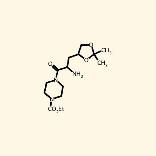 CCOC(=O)N1CCN(C(=O)C(N)CC2COC(C)(C)O2)CC1